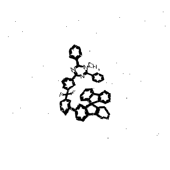 CN1C(c2ccccc2)=NC(c2cccc(C(F)(F)c3cccc(-c4ccc5c(c4)C4(C6=C5CCC=C6)c5ccccc5-c5ccccc54)c3)c2)=NC1c1ccccc1